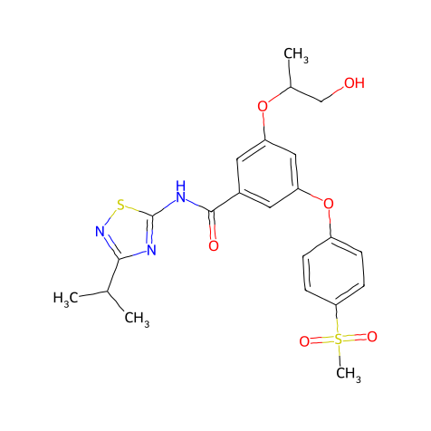 CC(CO)Oc1cc(Oc2ccc(S(C)(=O)=O)cc2)cc(C(=O)Nc2nc(C(C)C)ns2)c1